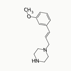 COc1cccc(/C=C/CN2CCNCC2)c1